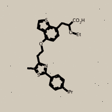 CCOC(Cc1ccc(OCCc2nc(-c3ccc(C(C)C)cc3)sc2C)c2ccsc12)C(=O)O